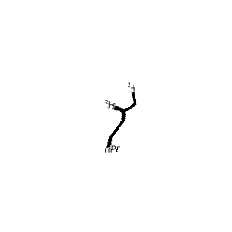 [2H]CC([2H])CCCCC